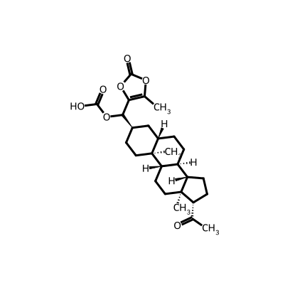 CC(=O)[C@H]1CC[C@H]2[C@@H]3CC[C@H]4C[C@H](C(OC(=O)O)c5oc(=O)oc5C)CC[C@]4(C)[C@H]3CC[C@]12C